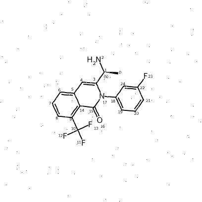 C[C@H](N)c1cc2cccc(C(F)(F)F)c2c(=O)n1-c1cccc(F)c1